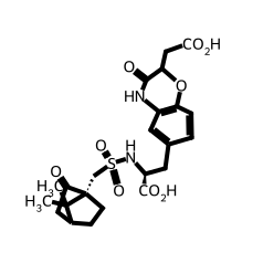 CC1(C)C2CC[C@]1(CS(=O)(=O)N[C@@H](Cc1ccc3c(c1)NC(=O)C(CC(=O)O)O3)C(=O)O)C(=O)C2